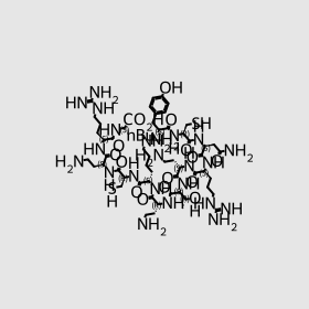 CCCC[C@H](NC(=O)[C@H](CCCNC(=N)N)NC(=O)[C@H](CCN)NC(=O)[C@H](CS)NC(=O)[C@H](CCCCN)NC(=O)[C@@H](CCN)NC(=O)[C@@H](NC(=O)[C@H](CCN)NC(=O)[C@H](CCCNC(=N)N)NC(=O)[C@H](CC(N)=O)NC(=O)[C@H](CS)NC(=O)[C@@H](N)Cc1ccc(O)cc1)[C@@H](C)O)C(=O)O